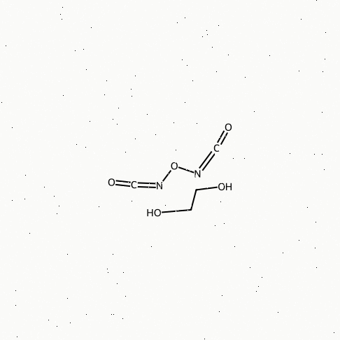 O=C=NON=C=O.OCCO